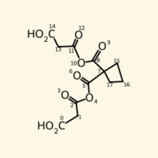 O=C(O)CC(=O)OC(=O)C1(C(=O)OC(=O)CC(=O)O)CCC1